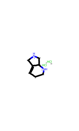 C1=C2CNCC2NCC1.Cl.Cl